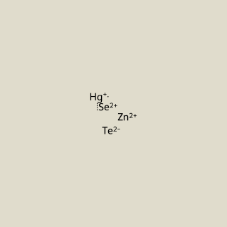 [Hg+].[Se+2].[Te-2].[Zn+2]